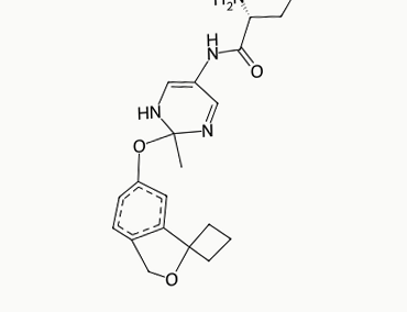 CC[C@@H](N)C(=O)NC1=CNC(C)(Oc2ccc3c(c2)C2(CCC2)OC3)N=C1